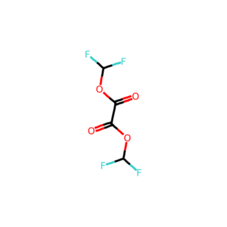 O=C(OC(F)F)C(=O)OC(F)F